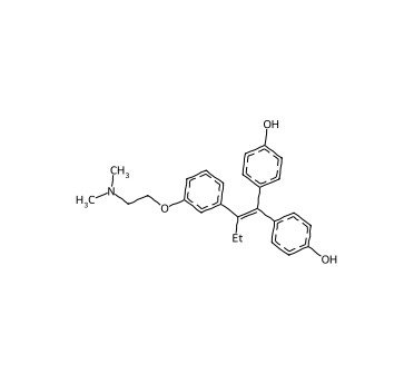 CCC(=C(c1ccc(O)cc1)c1ccc(O)cc1)c1cccc(OCCN(C)C)c1